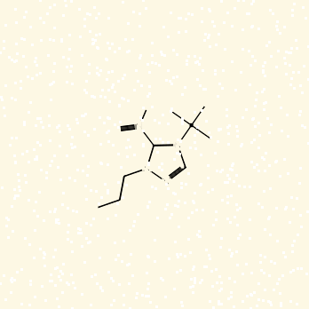 CCCN1N=CN(C(C)(C)C)C1[N+](=O)[O-]